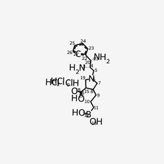 Cl.Cl.Cl.N[C@@H](CN1CC(CCCB(O)O)C(C(=O)O)C1)[C@@H](N)c1ccccc1